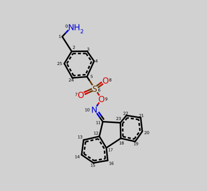 NCc1ccc(S(=O)(=O)ON=C2c3ccccc3-c3ccccc32)cc1